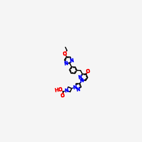 CCOc1cnc(-c2cccc(Cc3nn(-c4cnn(C5CN(C(=O)O)C5)c4)ccc3=O)c2)nc1